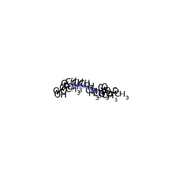 CC(=O)CCC(=O)OC1CC(C)(C)C(/C=C/C(C)=C/C=C/C(C)=C/C=C/C=C(C)/C=C/C=C(C)/C=C/C2=C(C)C(=O)C(OC(=O)CCC(=O)O)CC2(C)C)=C(C)C1=O